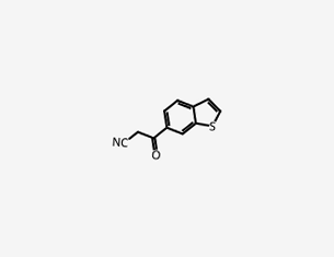 N#CCC(=O)c1ccc2ccsc2c1